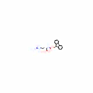 N=C(N)NCCC[C@H](NC(=O)OCC1c2ccccc2-c2ccccc21)C(=O)O